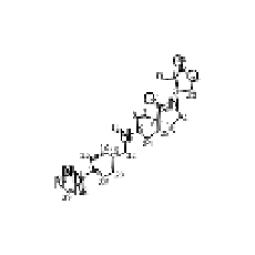 CC1=C(N2CC[C@]3(CC[C@H](N(C)Cc4ccc(-n5ncnn5)cc4)CC3)C2=O)COC1=O